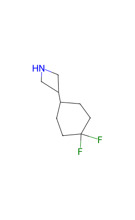 FC1(F)CCC(C2CNC2)CC1